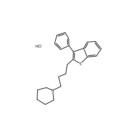 Cl.c1ccc(-c2c(CCCCN3CCCCC3)sc3ccccc23)cc1